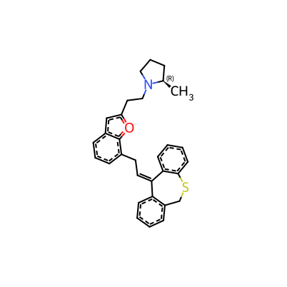 C[C@@H]1CCCN1CCc1cc2cccc(CC=C3c4ccccc4CSc4ccccc43)c2o1